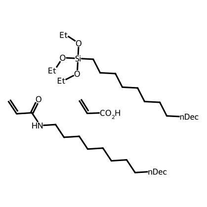 C=CC(=O)NCCCCCCCCCCCCCCCCCC.C=CC(=O)O.CCCCCCCCCCCCCCCCCC[Si](OCC)(OCC)OCC